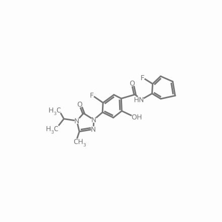 Cc1nn(-c2cc(O)c(C(=O)Nc3ccccc3F)cc2F)c(=O)n1C(C)C